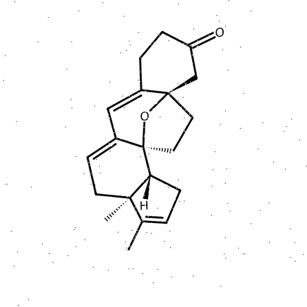 CC1=CC[C@@H]2[C@]1(C)CC=C1C=C3CCC(=O)C[C@]34CC[C@@]12O4